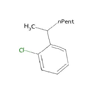 CCC[CH]CC(C)c1ccccc1Cl